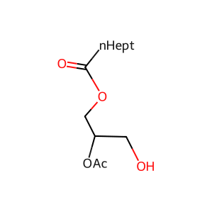 CCCCCCCC(=O)OCC(CO)OC(C)=O